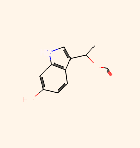 CC(OC=O)c1c[nH]c2cc(O)ccc12